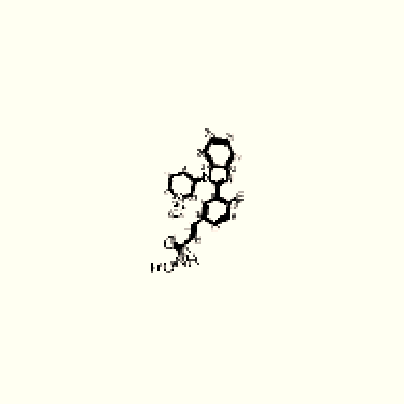 CCN1CCCC(n2c(-c3cc(C=CC(=O)NO)ccc3F)nc3ccccc32)C1